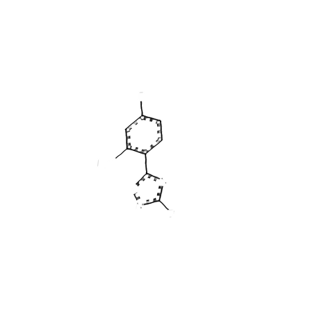 Fc1ccc(-c2nc(Br)ns2)c(C(F)(F)F)c1